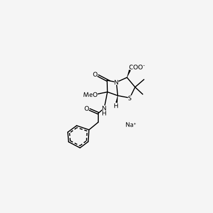 COC1(NC(=O)Cc2ccccc2)C(=O)N2[C@@H](C(=O)[O-])C(C)(C)S[C@@H]21.[Na+]